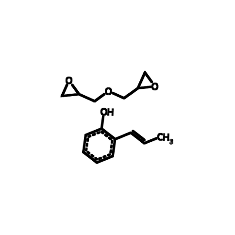 C(OCC1CO1)C1CO1.CC=Cc1ccccc1O